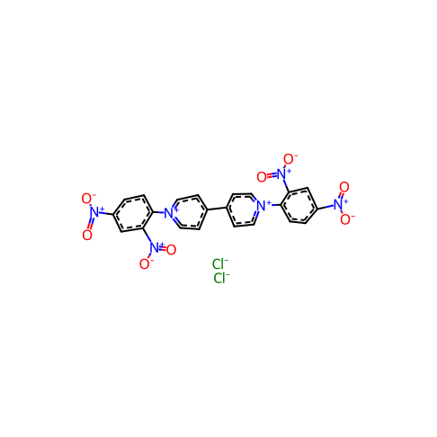 O=[N+]([O-])c1ccc(-[n+]2ccc(-c3cc[n+](-c4ccc([N+](=O)[O-])cc4[N+](=O)[O-])cc3)cc2)c([N+](=O)[O-])c1.[Cl-].[Cl-]